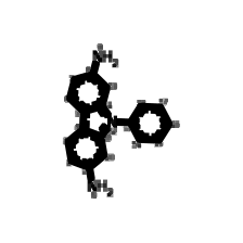 Nc1ccc2c3ccc(N)cc3n(-c3ccccc3)c2c1